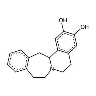 Oc1cc2c(cc1O)C1Cc3ccccc3CCN1CC2